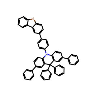 c1ccc(-c2ccc3c(c2)C(c2ccccc2)(c2ccccc2)c2cc(-c4ccccc4)ccc2N3c2ccc(-c3ccc4sc5ccccc5c4c3)cc2)cc1